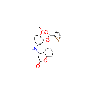 COC1=C(OC(=O)c2cccs2)C=C(N(C)C2CC(=O)OC3CCCCC32)CC1